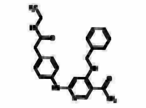 NC(=O)c1cnc(Nc2ccc(CC(=O)NCC(F)(F)F)cc2)cc1NCc1ccccc1